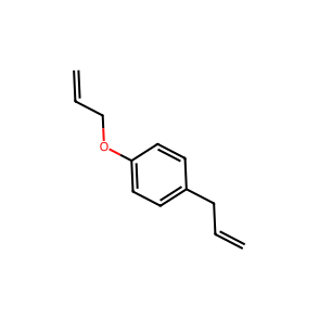 C=CCOc1ccc(CC=C)cc1